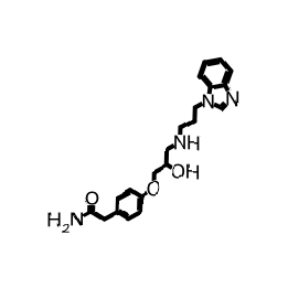 NC(=O)Cc1ccc(OCC(O)CNCCCn2cnc3ccccc32)cc1